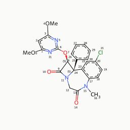 COc1cc(OC)nc(O[C@@H]2C(=O)N3CC(=O)N(C)c4ccc(Cl)cc4[C@@]23c2ccccc2)n1